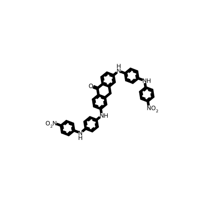 O=C1c2ccc(Nc3ccc(Nc4ccc([N+](=O)[O-])cc4)cc3)cc2Cc2cc(Nc3ccc(Nc4ccc([N+](=O)[O-])cc4)cc3)ccc21